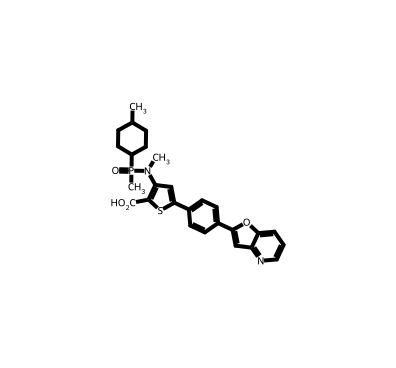 CC1CCC(P(C)(=O)N(C)c2cc(-c3ccc(-c4cc5ncccc5o4)cc3)sc2C(=O)O)CC1